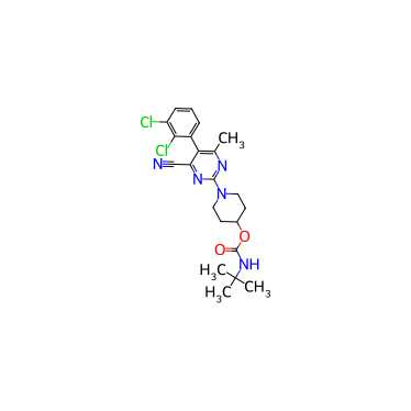 Cc1nc(N2CCC(OC(=O)NC(C)(C)C)CC2)nc(C#N)c1-c1cccc(Cl)c1Cl